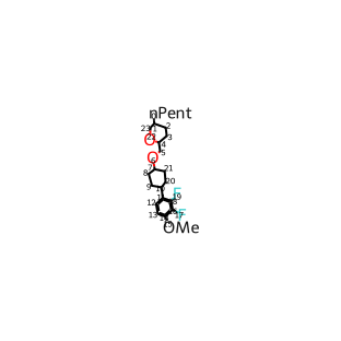 CCCCCC1CCC(COC2CCC(c3ccc(OC)c(F)c3F)CC2)OC1